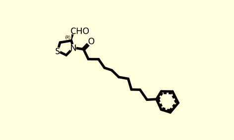 O=C[C@@H]1CSCN1C(=O)CCCCCCCCCc1ccccc1